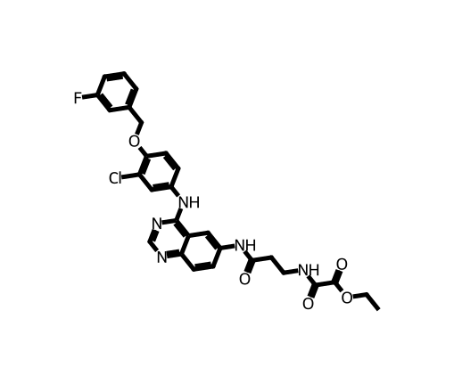 CCOC(=O)C(=O)NCCC(=O)Nc1ccc2ncnc(Nc3ccc(OCc4cccc(F)c4)c(Cl)c3)c2c1